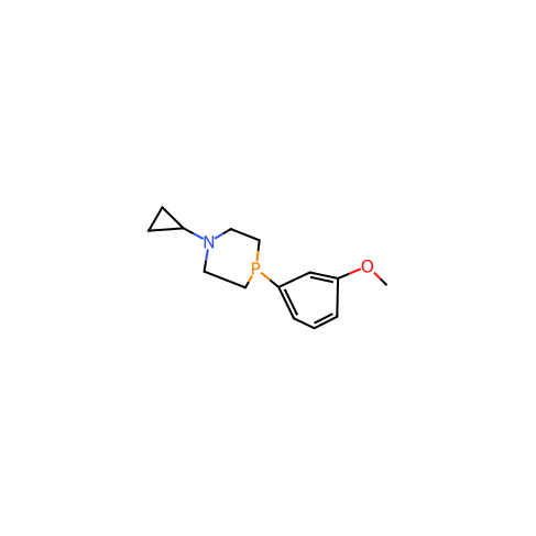 COc1cccc(P2CCN(C3CC3)CC2)c1